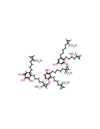 O=C(O)C1(CCCCCc2cc(O)cc(OC3CC3(CCCCCc3c(O)ccc(OC4CC4(CCCCCc4c(CCCCC5(C(=O)O)CC5)cc(O)c(O)c4O)C(=O)O)c3CCCCC3(C(=O)O)CC3)C(=O)O)c2CCCCC2(C(=O)O)CC2)CC1